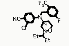 CCC(CC)N1C[C@@H](N(Cc2cc(F)ccc2C(F)(F)F)c2ccc(C#N)c(Cl)c2)CCO1